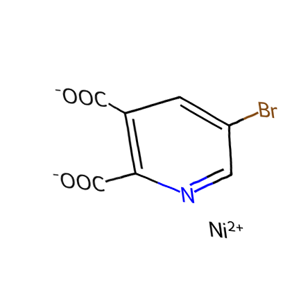 O=C([O-])c1cc(Br)cnc1C(=O)[O-].[Ni+2]